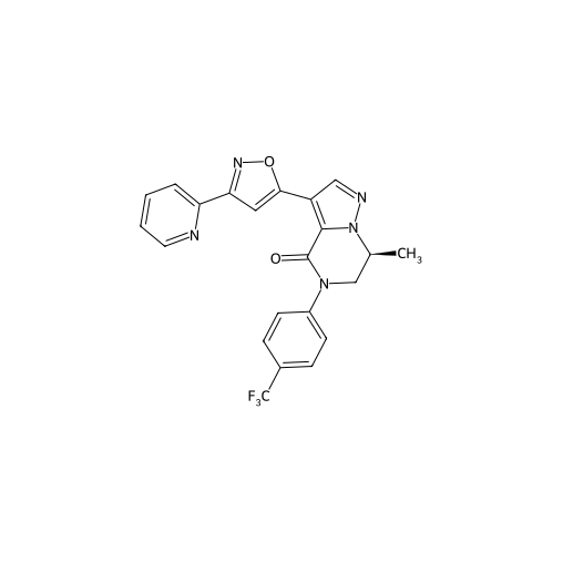 C[C@H]1CN(c2ccc(C(F)(F)F)cc2)C(=O)c2c(-c3cc(-c4ccccn4)no3)cnn21